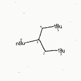 CCCCC(CC(C)(C)C)CC(C)(C)C